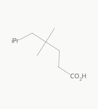 CC(C)CC(C)(C)CCC(=O)O